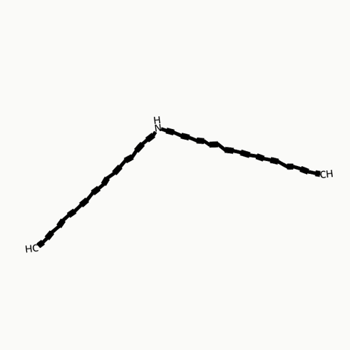 C#CC#CC#CC#CC#CC#CC#CC#CC#CC#CC#CNC#CC#CC#CC#CC#CC#CC#CC#CC#CC#CC#C